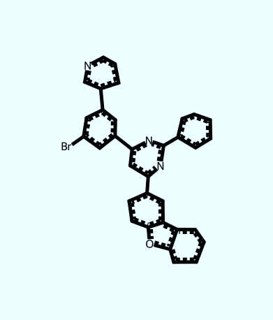 Brc1cc(-c2cccnc2)cc(-c2cc(-c3ccc4oc5ccccc5c4c3)nc(-c3ccccc3)n2)c1